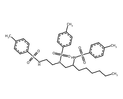 CCCCCCC(CN(CCNS(=O)(=O)c1ccc(C)cc1)S(=O)(=O)c1ccc(C)cc1)NS(=O)(=O)c1ccc(C)cc1